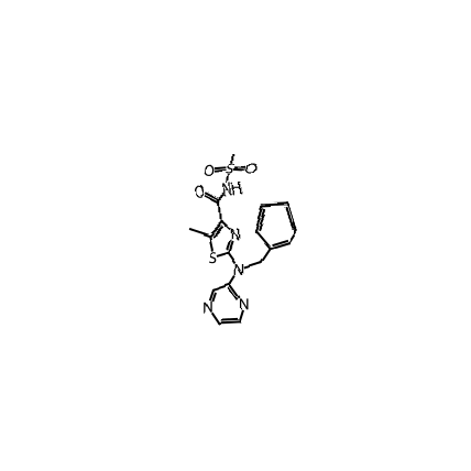 Cc1sc(N(Cc2ccccc2)c2cnccn2)nc1C(=O)NS(C)(=O)=O